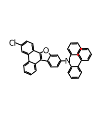 Clc1ccc2c(c1)c1ccccc1c1c3ccc(N(c4ccccc4)c4ccccc4-c4ccccc4)cc3oc21